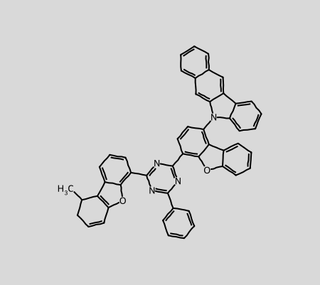 CC1CC=Cc2oc3c(-c4nc(-c5ccccc5)nc(-c5ccc(-n6c7ccccc7c7cc8ccccc8cc76)c6c5oc5ccccc56)n4)cccc3c21